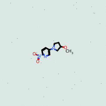 COC1CCN(c2ccc([N+](=O)[O-])nc2)C1